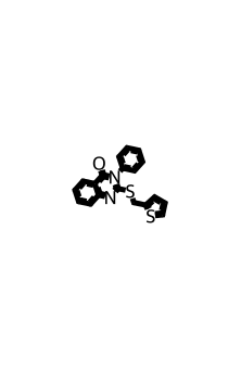 O=c1c2ccccc2nc(SCc2cccs2)n1-c1ccccc1